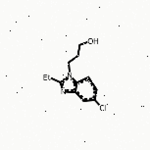 CCc1nc2cc(Cl)ccc2n1CCCO